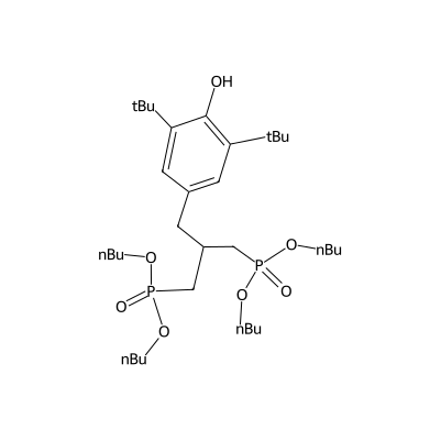 CCCCOP(=O)(CC(Cc1cc(C(C)(C)C)c(O)c(C(C)(C)C)c1)CP(=O)(OCCCC)OCCCC)OCCCC